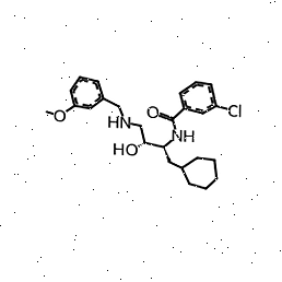 COc1cccc(CNC[C@@H](O)[C@H](CC2CCCCC2)NC(=O)c2cccc(Cl)c2)c1